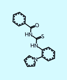 O=C(NC(=S)Nc1ccccc1-n1cccc1)c1ccccc1